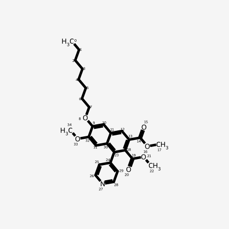 CCCCCCCCOc1cc2cc(C(=O)OC)c(C(=O)OC)c(-c3ccncc3)c2cc1OC